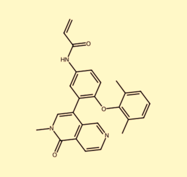 C=CC(=O)Nc1ccc(Oc2c(C)cccc2C)c(-c2cn(C)c(=O)c3ccncc23)c1